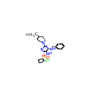 O=C(O)C1CCN(c2ncc(NS(=O)(=O)c3ccccc3Cl)c(NCc3ccccc3)n2)CC1